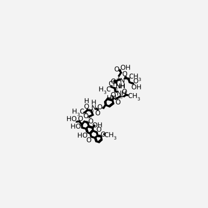 COc1cccc2c1C(=O)c1c(O)c3c(c(O)c1C2=O)C[C@@](O)(C(=O)CO)C[C@@H]3O[C@H]1C[C@H](NC(=O)OCc2ccc(NC(=O)[C@H](CC(C)=O)NC(=O)[C@@H](NC(=O)[C@H](CCC(=O)O)NC(=O)[C@@H](C)CC(=O)O)C(C)C)cc2)[C@H](O)[C@H](C)O1